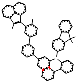 CC1=C(c2cc(-c3cccc(-c4cccc(N(c5ccc6c(c5)C(C)(C)c5ccccc5-6)c5ccccc5-c5ccccc5)c4)c3)ccc2C)c2cccc3cccc1c23